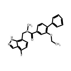 CCOc1cc(C(=O)N(C)Cc2ccc(F)c3cn[nH]c23)ccc1-c1ccccc1